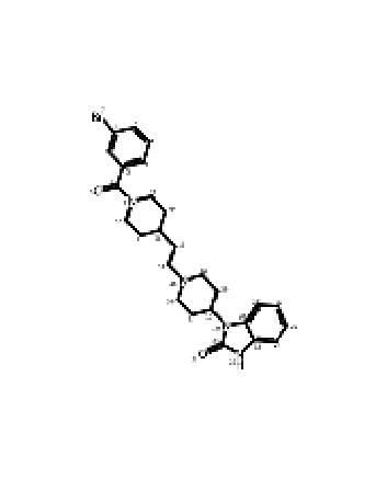 O=C(c1cccc(Br)c1)N1CCC(CCN2CCC(n3c(=O)[nH]c4ccccc43)CC2)CC1